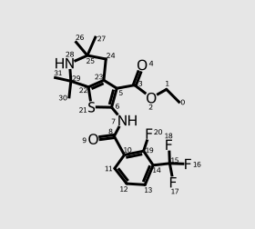 CCOC(=O)c1c(NC(=O)c2cccc(C(F)(F)F)c2F)sc2c1CC(C)(C)NC2(C)C